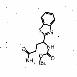 CC(C)(C)OC(=O)NC(CCC(N)=O)c1nc2ccccc2s1